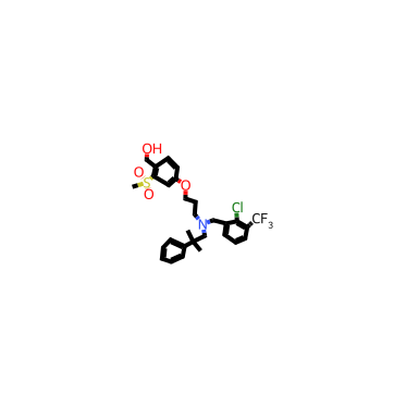 CC(C)(CN(CCCOc1ccc(CO)c(S(C)(=O)=O)c1)Cc1cccc(C(F)(F)F)c1Cl)c1ccccc1